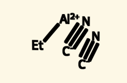 C[CH2][Al+2].[C-]#N.[C-]#N